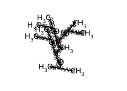 CCCCCCCCC(CCCCCC)COC(=O)CCCCCN(CCCCCC(=O)OCC(CCCCCC)CCCCCCCC)CCCN(C)CCCN(CCCCCC(=O)OCC(CCCCCC)CCCCCCCC)CCCCCC(=O)OCC(CCCCCC)CCCCCCCC